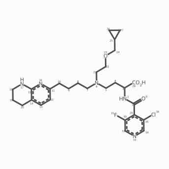 O=C(NC(CCN(CCCCc1ccc2c(n1)NCCC2)CCOCC1CC1)C(=O)O)c1c(F)cncc1Cl